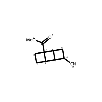 COC(=O)C12C3C4C1C1C2C3C41C#N